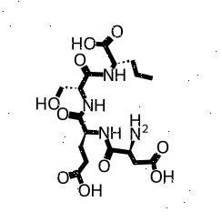 CCC[C@H](NC(=O)[C@@H](CO)NC(=O)[C@H](CCC(=O)O)NC(=O)[C@@H](N)CC(=O)O)C(=O)O